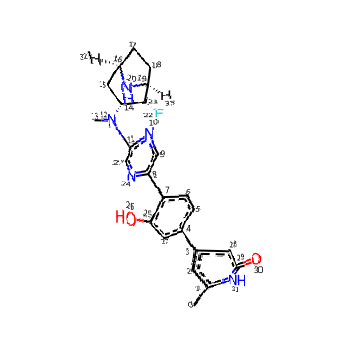 Cc1cc(-c2ccc(-c3cnc(N(C)[C@@H]4C[C@H]5CC[C@H](N5)[C@@H]4F)cn3)c(O)c2)cc(=O)[nH]1